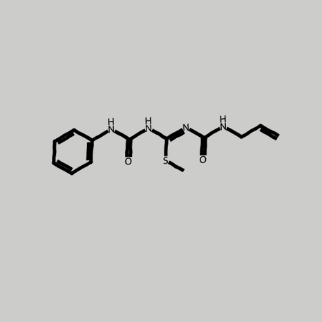 C=CCNC(=O)N=C(NC(=O)Nc1ccccc1)SC